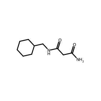 NC(=O)CC(=O)NCC1CCCCC1